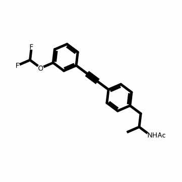 CC(=O)NC(C)Cc1ccc(C#Cc2cccc(OC(F)F)c2)cc1